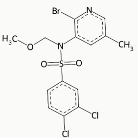 COCN(c1cc(C)cnc1Br)S(=O)(=O)c1ccc(Cl)c(Cl)c1